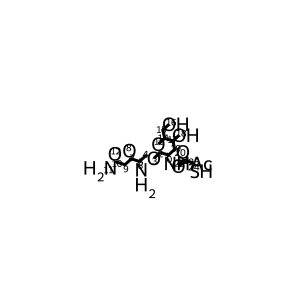 CC(=O)NC1C(OCC(N)C(=O)CC(N)=O)OC(CO)C(O)C1OC(=O)CS